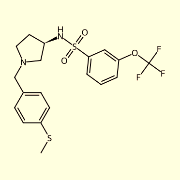 CSc1ccc(CN2CC[C@@H](NS(=O)(=O)c3cccc(OC(F)(F)F)c3)C2)cc1